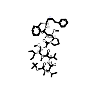 CCC(CC)[C@@H]([C@@H](CC(=O)N1CCC[C@H]1[C@H](OC)[C@@H](C)C(=O)N[C@H](/C=C\Cc1ccccc1)Cc1ccccc1)OC)N(C)C(=O)[C@@H](NC(=O)[C@H](C(C)C)N(C)C(=O)OC(C)(C)C)C(C)C